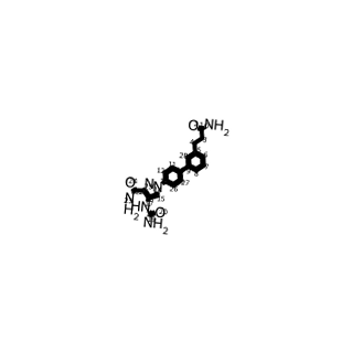 NC(=O)CCc1cccc(-c2ccc(-n3cc(NC(N)=O)c(C(N)=O)n3)cc2)c1